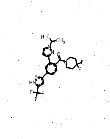 CC(C)n1ccc(-c2cc(-c3cc(C(F)(F)F)[nH]n3)ccc2C(=O)N2CCC(F)(F)CC2)n1